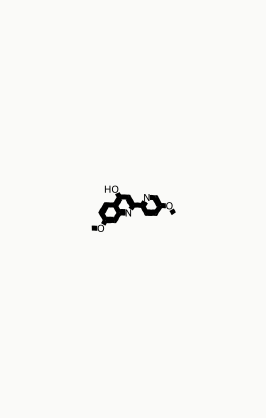 COc1ccc(-c2cc(O)c3ccc(OC)cc3n2)nc1